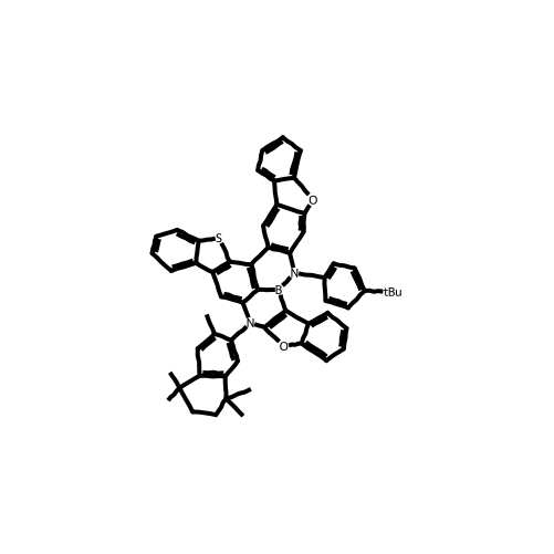 Cc1cc2c(cc1N1c3cc4c(sc5ccccc54)c4c3B(c3c1oc1ccccc31)N(c1ccc(C(C)(C)C)cc1)c1cc3oc5ccccc5c3cc1-4)C(C)(C)CCC2(C)C